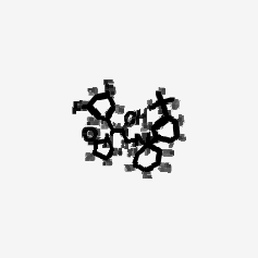 CC(C)(C)c1cccc(C2(NC[C@@H](O)C(c3cc(F)cc(F)c3)N3CCCC3=O)CCCCC2)c1